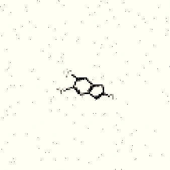 Cc1cc2c(cc1C)C[C]([Ti])=C2